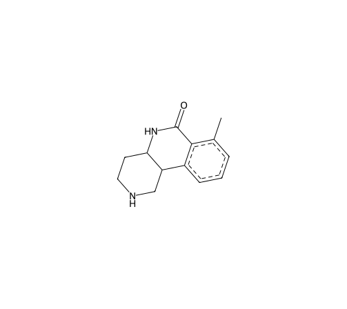 Cc1cccc2c1C(=O)NC1CCNCC21